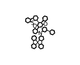 c1ccc(-c2cccc(N(c3ccc4c(c3)C3(c5ccccc5-c5ccccc53)c3ccccc3-4)c3cccc4oc5c(-c6cccc7c6sc6ccccc67)c6c(cc5c34)oc3ccccc36)c2)cc1